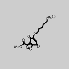 COC(=O)c1noc2c1C(=O)C(SCCCCCNC(C)=O)=CC2=O